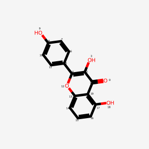 O=c1c(O)c(-c2ccc(O)cc2)oc2cccc(O)c12